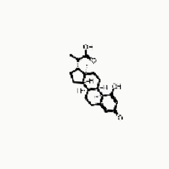 CC(C(=O)O)[C@H]1CC[C@H]2[C@@H]3CCC4=CC(=O)C=C(O)[C@]4(C)[C@H]3CC[C@]12C